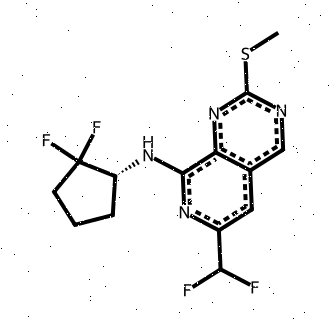 CSc1ncc2cc(C(F)F)nc(N[C@@H]3CCCC3(F)F)c2n1